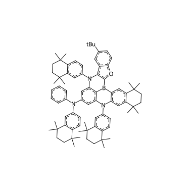 CC(C)(C)c1ccc2oc3c(c2c1)N(c1ccc2c(c1)C(C)(C)CCC2(C)C)c1cc(N(c2ccccc2)c2ccc4c(c2)C(C)(C)CCC4(C)C)cc2c1B3c1cc3c(cc1N2c1ccc2c(c1)C(C)(C)CCC2(C)C)C(C)(C)CCC3(C)C